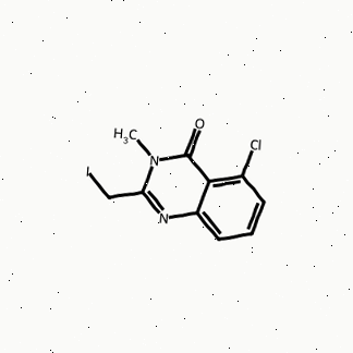 Cn1c(CI)nc2cccc(Cl)c2c1=O